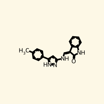 Cc1ccc(-c2cc(NC=C3C(=O)Nc4ccccc43)n[nH]2)cc1